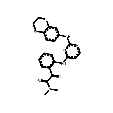 CN(C)C(=O)C(=O)c1ccccc1Nc1ccnc(Nc2ccc3c(c2)OCCN3)n1